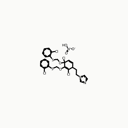 ClC1=C(OCSc2ccccc2Cl)C(Cl)(OCSc2ccccc2Cl)C=CC1CCn1ccnc1.O=[N+]([O-])O